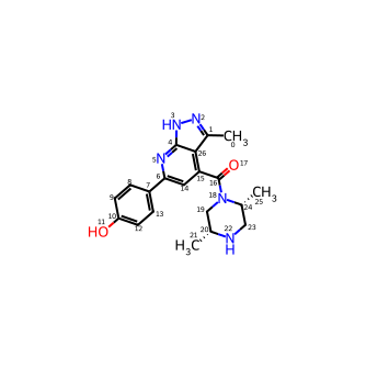 Cc1n[nH]c2nc(-c3ccc(O)cc3)cc(C(=O)N3C[C@@H](C)NC[C@H]3C)c12